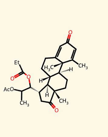 CCC(=O)OC(C(C)OC(C)=O)[C@H]1CC(=O)[C@@]2(C)CC[C@H]3[C@@H](CCC4=CC(=O)C=C(C)[C@@]43C)[C@H]12